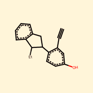 C#Cc1cc(O)ccc1C1Cc2ccccc2C1CC